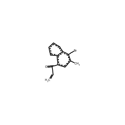 C=CC(=O)c1cc(C)c(Br)c2ccccc12